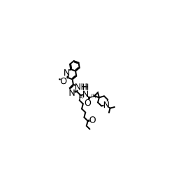 CCC(=O)CCCCC[C@H](NC(=O)[C@H]1CC12CCN(C(C)C)CC2)c1ncc(-c2cc3ccccc3nc2OC)[nH]1